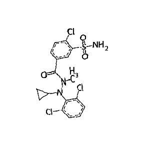 CN(C(=O)c1ccc(Cl)c(S(N)(=O)=O)c1)N(c1c(Cl)cccc1Cl)C1CC1